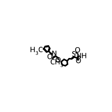 Cc1cccc(-c2nc(COC3CCCC(C/C=C4\SC(=O)NC4=O)C3)c(C)o2)c1